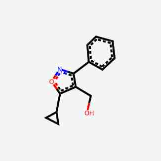 OCc1c(-c2ccccc2)noc1C1CC1